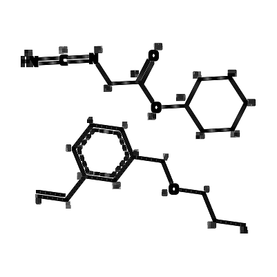 C=Cc1cccc(COCCC)c1.N=C=NCC(=O)OC1CCCCC1